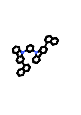 c1cc(-n2c3ccccc3c3ccc(-c4cccc5ccccc45)cc32)cc(-n2c3ccccc3c3ccc(-c4cccc5ccccc45)cc32)c1